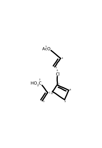 C=CC(=O)O.C=COC(C)=O.ClC1=CCC1